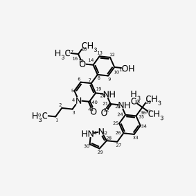 CCCCn1ccc(-c2cc(O)ccc2OC(C)C)c(NC(=O)Nc2cc(Cc3cc[nH]n3)ccc2C(C)(C)C)c1=O